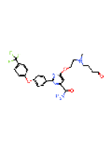 CN(CCCC=O)CCOc1cc(C(N)=O)nc(-c2ccc(Oc3ccc(C(F)(F)F)cc3)cc2)n1